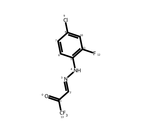 O=C(C=NNc1ccc(Cl)cc1F)C(F)(F)F